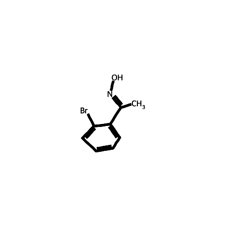 CC(=NO)c1ccccc1Br